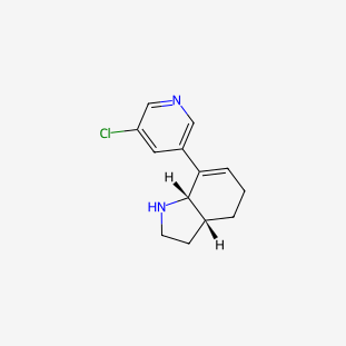 Clc1cncc(C2=CCC[C@@H]3CCN[C@H]23)c1